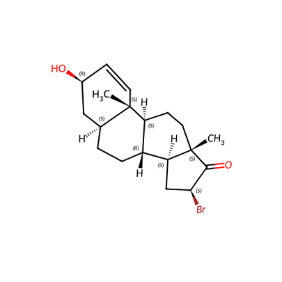 C[C@]12C=C[C@H](O)C[C@@H]1CC[C@@H]1[C@@H]2CC[C@]2(C)C(=O)[C@@H](Br)C[C@@H]12